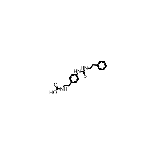 O=C(O)NCCc1ccc(NC(=S)NCCc2ccccc2)cc1